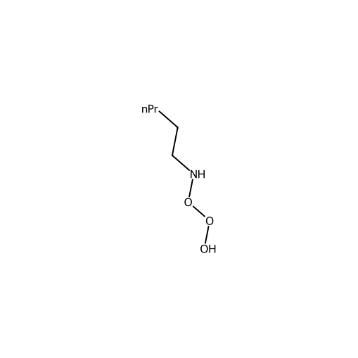 CCCCCNOOO